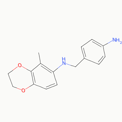 Cc1c(NCc2ccc(N)cc2)ccc2c1OCCO2